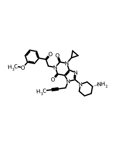 CC#CCn1c(N2CCC[C@@H](N)C2)nc2c1c(=O)n(CC(=O)c1cccc(OC)c1)c(=O)n2C1CC1